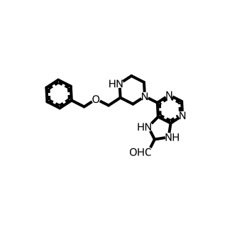 O=CC1Nc2ncnc(N3CCNC(COCc4ccccc4)C3)c2N1